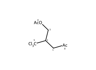 CC(=O)CC(COC(C)=O)C(Cl)(Cl)Cl